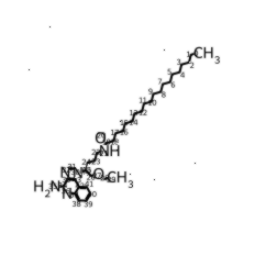 CCCCCCCCCCCCCCCCCCCC(=O)NCCC[C@@H](COCC)n1cnc2c(N)nc3ccccc3c21